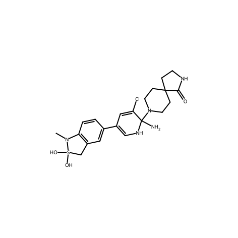 CN1c2ccc(C3=CNC(N)(N4CCC5(CCNC5=O)CC4)C(Cl)=C3)cc2CS1(O)O